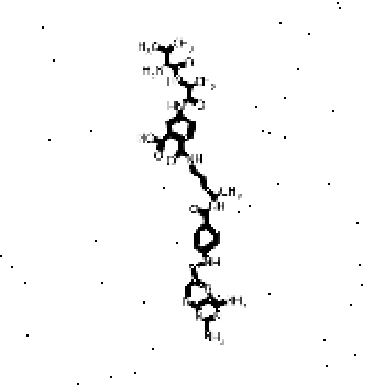 CC(C)[C@H](N)C(=O)N[C@@H](C)C(=O)Nc1ccc(C(=O)NCCC[C@@H](C)NC(=O)c2ccc(NCc3cnc4nc(N)nc(N)c4n3)cc2)c(C(=O)O)c1